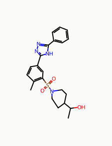 Cc1ccc(-c2nnc(-c3ccccc3)[nH]2)cc1S(=O)(=O)N1CCC(C(C)O)CC1